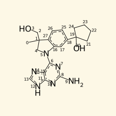 CC1(CO)CN(c2nc(N)nc3[nH]cnc23)c2cc(C3(O)CCCC3)ccc21